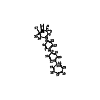 CC1(C)CC(c2ccc(-c3ccc(C4C=CC=CC=C4)cc3)cc2)CC(C)(C)N1